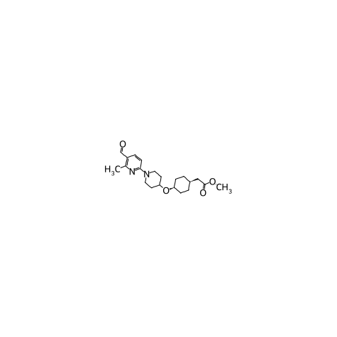 COC(=O)C[C@H]1CC[C@@H](OC2CCN(c3ccc(C=O)c(C)n3)CC2)CC1